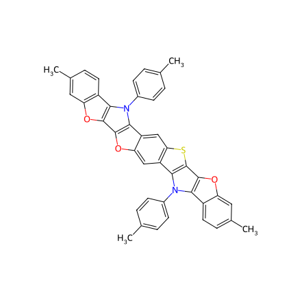 Cc1ccc(-n2c3c4ccc(C)cc4oc3c3oc4cc5c(cc4c32)sc2c3oc4cc(C)ccc4c3n(-c3ccc(C)cc3)c52)cc1